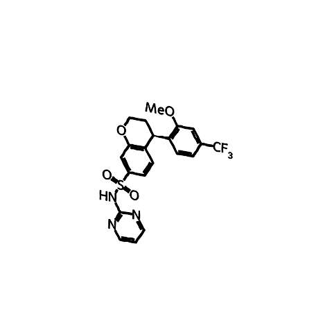 COc1cc(C(F)(F)F)ccc1[C@@H]1CCOc2cc(S(=O)(=O)Nc3ncccn3)ccc21